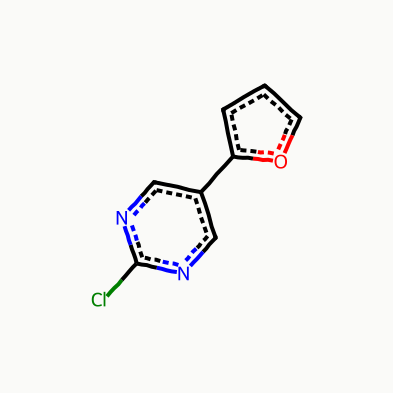 Clc1ncc(-c2ccco2)cn1